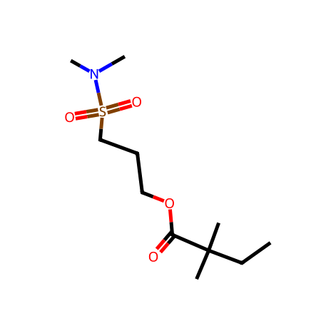 CCC(C)(C)C(=O)OCCCS(=O)(=O)N(C)C